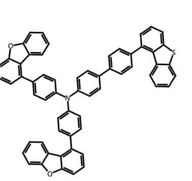 c1ccc2c(c1)oc1cccc(-c3ccc(N(c4ccc(-c5ccc(-c6cccc7sc8ccccc8c67)cc5)cc4)c4ccc(-c5cccc6oc7ccccc7c56)cc4)cc3)c12